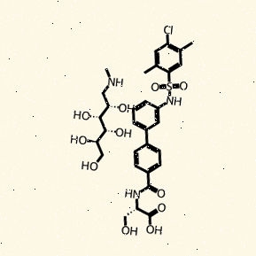 CNC[C@H](O)[C@@H](O)[C@H](O)[C@H](O)CO.Cc1cc(S(=O)(=O)Nc2cccc(-c3ccc(C(=O)N[C@@H](CO)C(=O)O)cc3)c2)c(C)cc1Cl